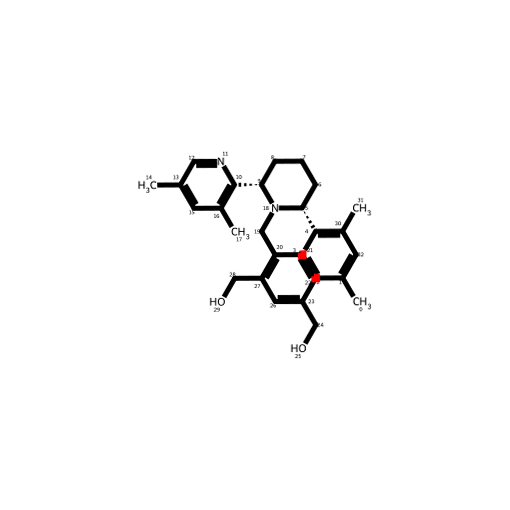 Cc1cnc([C@H]2CCC[C@@H](c3ncc(C)cc3C)N2Cc2ccc(CO)cc2CO)c(C)c1